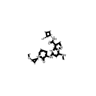 CNc1cc(Nc2cccn([C@@H]3C[C@H]3OC)c2=O)nc2c(C(=O)N[C@H]3CC[C@@H]3F)cnn12